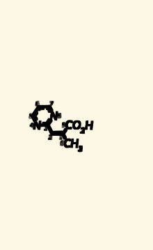 C/C(=C/c1ncccn1)C(=O)O